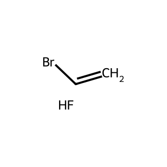 C=CBr.F